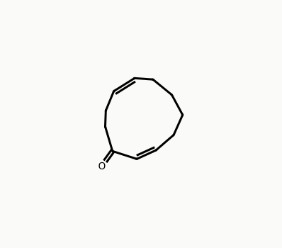 O=C1C=CCCCCC=CCC1